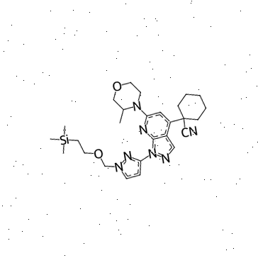 CC1COCCN1c1cc(C2(C#N)CCCCC2)c2cnn(-c3ccn(COCC[Si](C)(C)C)n3)c2n1